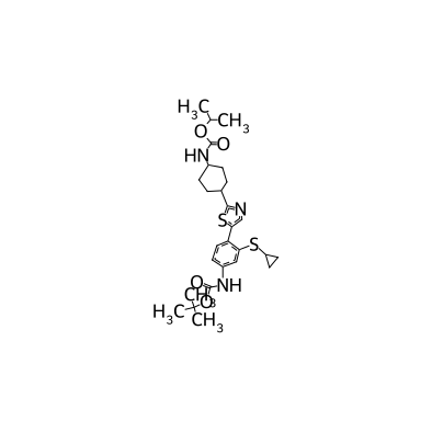 CC(C)OC(=O)NC1CCC(c2ncc(-c3ccc(NC(=O)OC(C)(C)C)cc3SC3CC3)s2)CC1